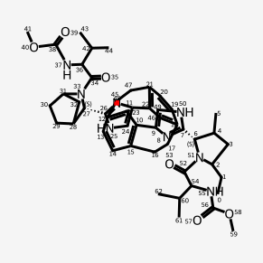 CCC1CC(C)[C@@H](c2nc(-c3cc4ccc3CCc3ccc(c(-c5c[nH]c([C@@H]6C7CCC(C7)N6C(=O)C(NC(=O)OC)C(C)C)n5)c3)CC4)c[nH]2)N1C(=O)C(NC(=O)OC)C(C)C